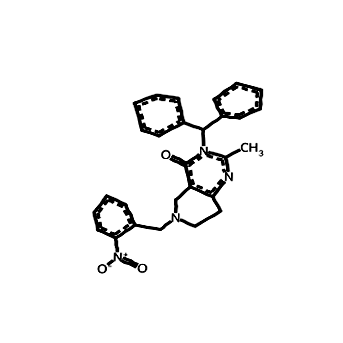 Cc1nc2c(c(=O)n1C(c1ccccc1)c1ccccc1)CN(Cc1ccccc1[N+](=O)[O-])CC2